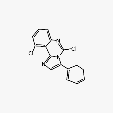 Clc1cccc2nc(Cl)n3c(C4=CC=CCC4)cnc3c12